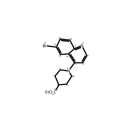 CCOC(=O)C1CCN(c2ccnc3ccc(Br)cc23)CC1